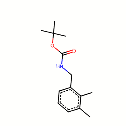 Cc1cccc(CNC(=O)OC(C)(C)C)c1C